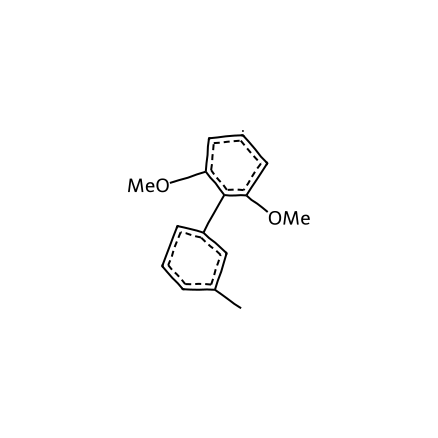 COc1c[c]cc(OC)c1-c1cccc(C)c1